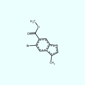 COC(=O)c1cc2ncc(C)n2cc1Br